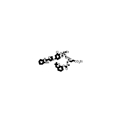 CCCSP(=O)(OCC)Oc1ccc(Br)cc1Cl.CCOC(=O)CCN(SN(C)C(=O)Oc1cccc2c1OC(C)(C)C2)C(C)C.c1coc(-c2nc3ccccc3[nH]2)c1